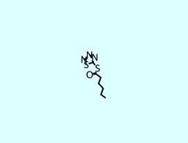 CCCCCC(=O)Sc1nnns1